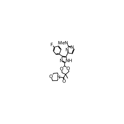 CNc1nccc(-c2[nH]c(C3OCC(C)(C(=O)N4CCOCC4)CO3)nc2-c2ccc(F)cc2)n1